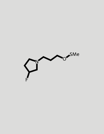 CSOCCCN1CCC(F)C1